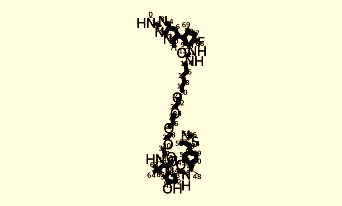 CNc1ncc2cc(-c3cc(NC(=O)NCCCCCCOCCOCCOCCOCC(=O)N[C@@H](C(=O)N4C[C@H](O)C[C@H]4C(=O)N[C@@H](C)c4ccc(-c5scnc5C)cc4)C(C)(C)C)c(F)cc3C)c(C)nc2n1